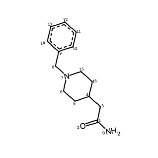 NC(=O)[CH]C1CCN(Cc2ccccc2)CC1